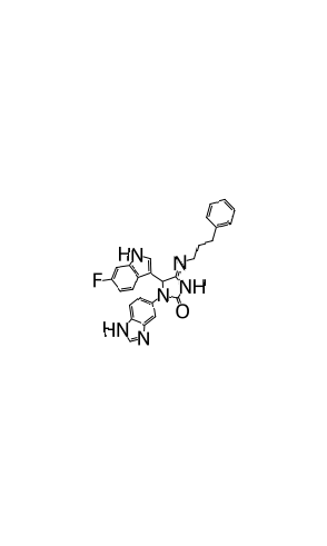 O=C1NC(=NCCCc2ccccc2)C(c2c[nH]c3cc(F)ccc23)N1c1ccc2[nH]cnc2c1